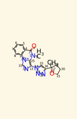 CN1C(=O)c2ccccc2[N+]2C=NC(n3cc(C4(C)CCCO4)nn3)=C12